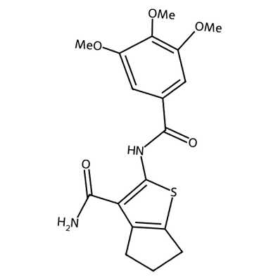 COc1cc(C(=O)Nc2sc3c(c2C(N)=O)CCC3)cc(OC)c1OC